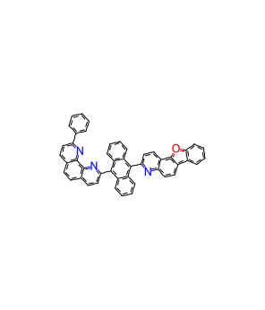 c1ccc(-c2ccc3ccc4ccc(-c5c6ccccc6c(-c6ccc7c(ccc8c9ccccc9oc78)n6)c6ccccc56)nc4c3n2)cc1